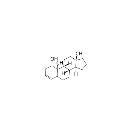 C[C@@]12CCC[C@H]1[C@@H]1CCC3C=CCC(O)[C@]3(C)[C@@H]1CC2